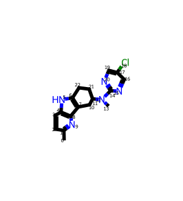 Cc1ccc2[nH]c3c(c2n1)CC(N(C)c1ncc(Cl)cn1)CC3